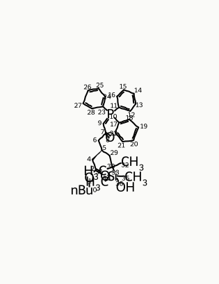 CCCCOC(=O)C[C@@H](CC(=O)C=P(c1ccccc1)(c1ccccc1)c1ccccc1)CC(C)(C)[Si](C)(C)O